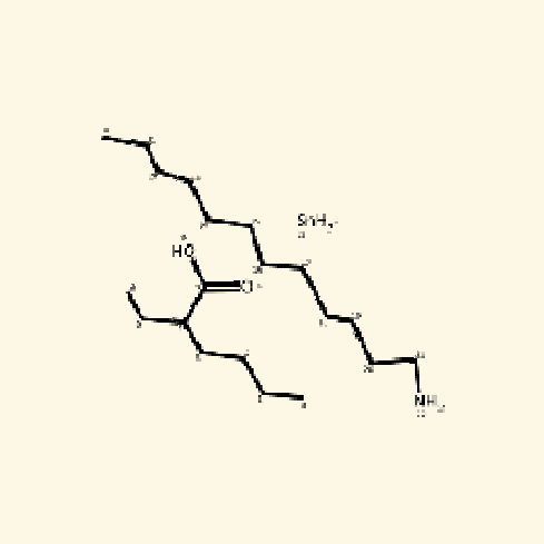 CCCCC(CC)C(=O)O.CCCCCCCCCCCCN.[SnH2]